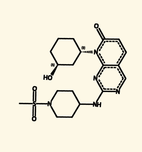 CS(=O)(=O)N1CCC(Nc2ncc3ccc(=O)n([C@H]4CCC[C@H](O)C4)c3n2)CC1